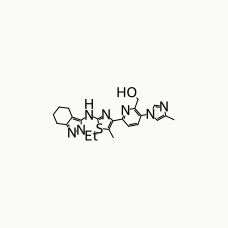 CCn1nc2c(c1Nc1nc(-c3ccc(-n4cnc(C)c4)c(CO)n3)c(C)s1)CCCC2